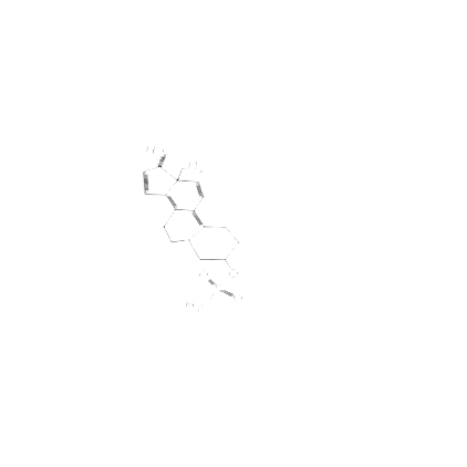 C=C1C=CC2=C3CCC4CC(OS(C)(=O)=O)CCC4=C3C=CC12C